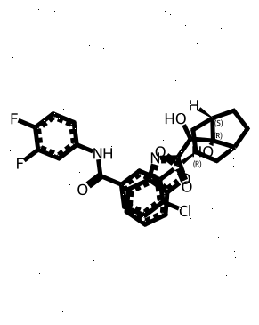 O=C(Nc1ccc(F)c(F)c1)c1ccc(Cl)c(S(=O)(=O)[C@@H]2CC3CC[C@@H](C2)[C@@]3(O)C(O)c2nc3ccccc3o2)c1